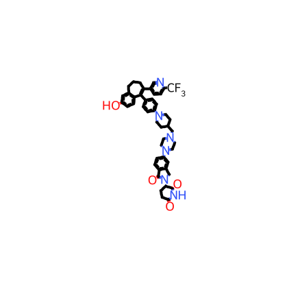 O=C1CC[C@H](N2Cc3cc(N4CCN(CC5CCN(c6ccc(C7=C(c8ccc(C(F)(F)F)nc8)CCCc8cc(O)ccc87)cc6)CC5)CC4)ccc3C2=O)C(=O)N1